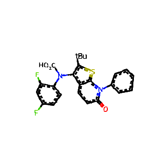 CC(C)(C)c1sc2c(ccc(=O)n2-c2ccccc2)c1N(C(=O)O)c1ccc(F)cc1F